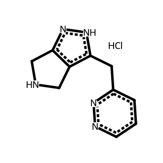 Cl.c1cnnc(Cc2[nH]nc3c2CNC3)c1